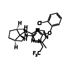 Cc1cc(N2C[C@H]3CC[C@@H](C2)[C@@H]3Nc2nc(Oc3ccccc3Cl)n(CC(F)(F)F)n2)ncn1